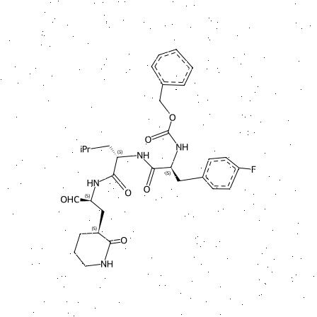 CC(C)C[C@H](NC(=O)[C@H](Cc1ccc(F)cc1)NC(=O)OCc1ccccc1)C(=O)N[C@H](C=O)C[C@@H]1CCCNC1=O